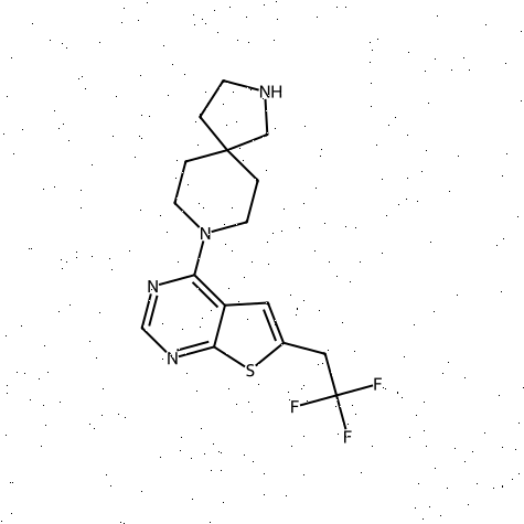 FC(F)(F)Cc1cc2c(N3CCC4(CCNC4)CC3)ncnc2s1